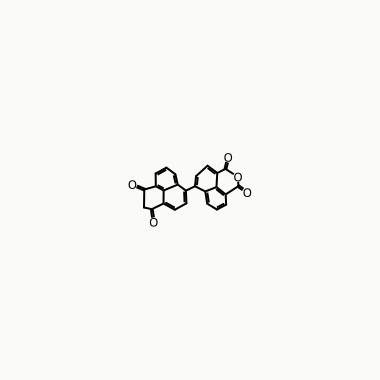 O=C1CC(=O)c2ccc(-c3ccc4c5c(cccc35)C(=O)OC4=O)c3cccc1c23